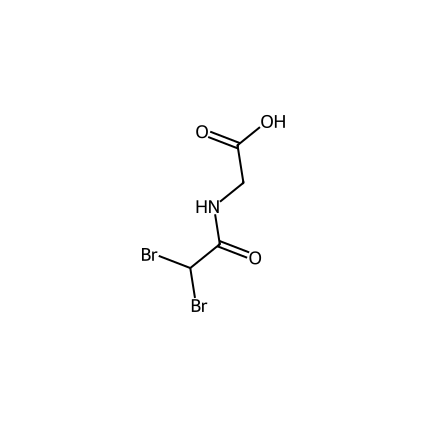 O=C(O)CNC(=O)C(Br)Br